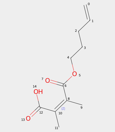 C=CCCCOC(=O)/C(C)=C(/C)C(=O)O